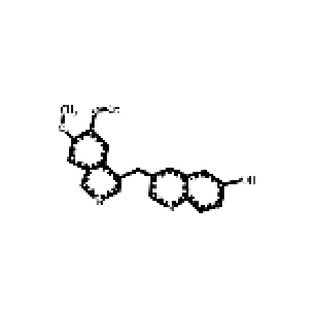 COc1cc2cncc(Cc3cnc4ccc(O)cc4c3)c2cc1OC